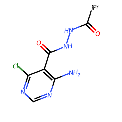 CC(C)C(=O)NNC(=O)c1c(N)ncnc1Cl